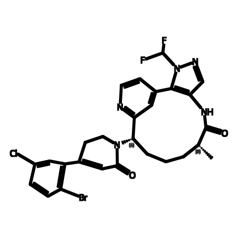 C[C@@H]1CCC[C@H](N2CCC(c3cc(Cl)ccc3Br)=CC2=O)c2cc(ccn2)-c2c(cnn2C(F)F)NC1=O